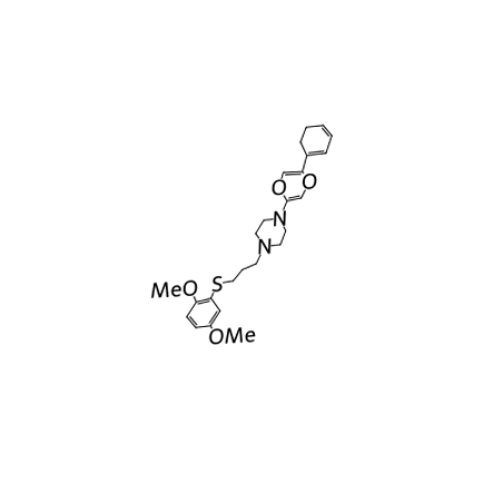 COc1ccc(OC)c(SCCCN2CCN(C3=COC(C4=CC=CCC4)=CO3)CC2)c1